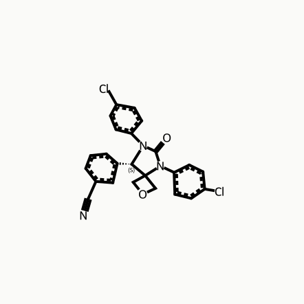 N#Cc1cccc([C@@H]2N(c3ccc(Cl)cc3)C(=O)N(c3ccc(Cl)cc3)C23COC3)c1